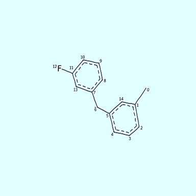 Cc1cccc([CH]c2cccc(F)c2)c1